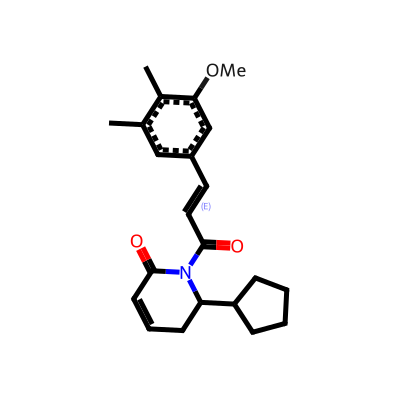 COc1cc(/C=C/C(=O)N2C(=O)C=CCC2C2CCCC2)cc(C)c1C